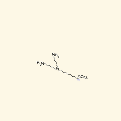 CCCCCCCC/C=C\CCCCCCCCN(CCCCCCN)CCCCCCN